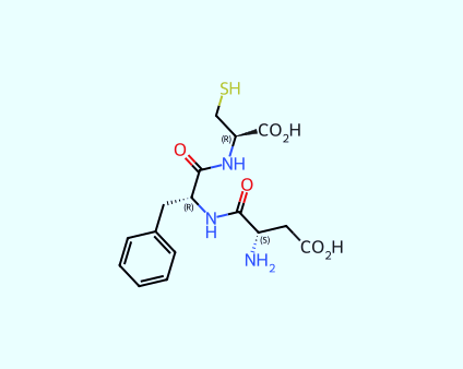 N[C@@H](CC(=O)O)C(=O)N[C@H](Cc1ccccc1)C(=O)N[C@@H](CS)C(=O)O